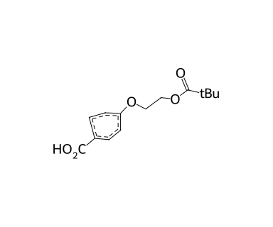 CC(C)(C)C(=O)OCCOc1ccc(C(=O)O)cc1